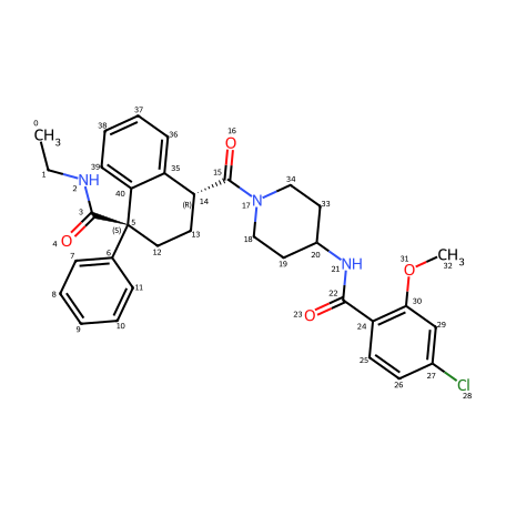 CCNC(=O)[C@]1(c2ccccc2)CC[C@@H](C(=O)N2CCC(NC(=O)c3ccc(Cl)cc3OC)CC2)c2ccccc21